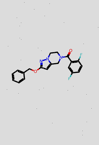 O=C(c1cc(F)ccc1F)N1CCn2nc(OCc3ccccc3)cc2C1